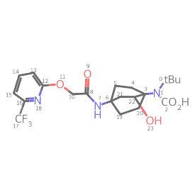 CC(C)(C)N(C(=O)O)C12CCC(NC(=O)COc3cccc(C(F)(F)F)n3)(CC1)CC2O